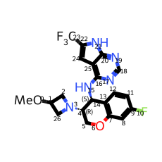 COC1CN([C@H]2COc3cc(F)ccc3[C@@H]2Nc2ncnc3[nH]c(C(F)(F)F)cc23)C1